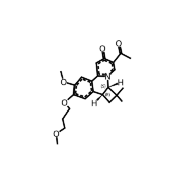 COCCCOc1cc2c(cc1OC)-c1cc(=O)c(C(C)=O)cn1[C@H]1[C@@H]2CC1(C)C